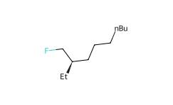 CCCCCCC[C@@H](CC)CF